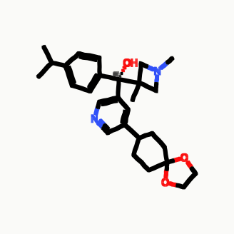 CC(C)c1ccc([C@](O)(c2cncc(C3CCC4(CC3)OCCO4)c2)C2(C)CN(C)C2)cc1